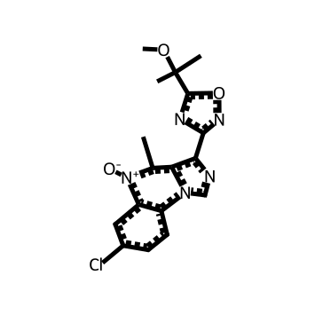 COC(C)(C)c1nc(-c2ncn3c2c(C)[n+]([O-])c2cc(Cl)ccc23)no1